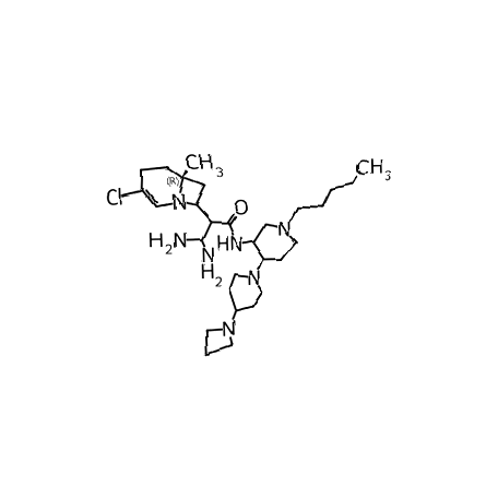 CCCCCN1CCC(N2CCC(N3CCC3)CC2)C(NC(=O)C(C(N)N)C2C[C@@]3(C)CCC(Cl)=CN23)C1